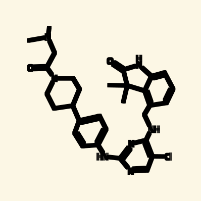 CN(C)CC(=O)N1CCC(c2ccc(Nc3ncc(Cl)c(NCc4cccc5c4C(C)(C)C(=O)N5)n3)cc2)CC1